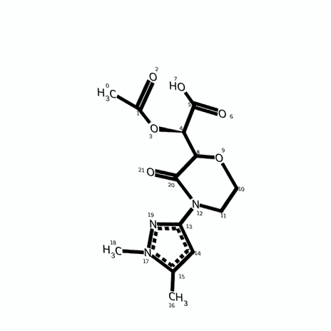 CC(=O)O[C@@H](C(=O)O)C1OCCN(c2cc(C)n(C)n2)C1=O